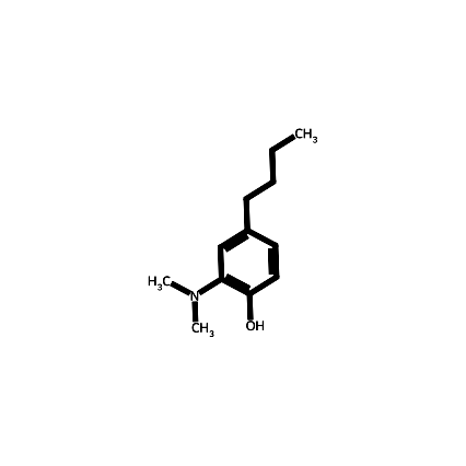 CCCCc1ccc(O)c(N(C)C)c1